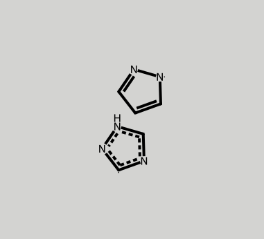 C1=C[N]N=C1.[c]1nc[nH]n1